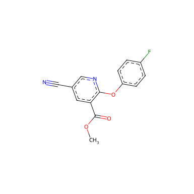 COC(=O)c1cc(C#N)cnc1Oc1ccc(F)cc1